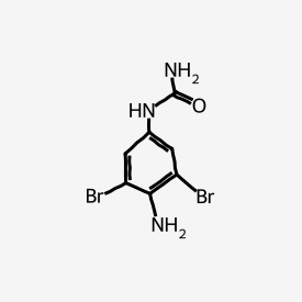 NC(=O)Nc1cc(Br)c(N)c(Br)c1